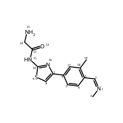 C/N=C\c1ccc(-c2csc(NC(=O)CN)n2)cc1C